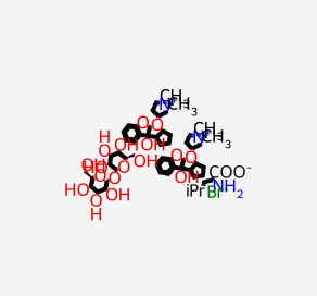 CC(C)C[C@H](N)C(=O)[O-].C[N+]1(C)CCC(OC(=O)C(O)(c2ccccc2)C2CCCC2)C1.C[N+]1(C)CCC(OC(=O)C(O)(c2ccccc2)C2CCCC2)C1.OC[C@H]1O[C@H](O[C@H]2O[C@H](CO)[C@@H](O)[C@H](O)[C@H]2O)[C@H](O)[C@@H](O)[C@@H]1O.[Br-]